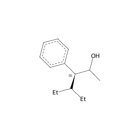 CCC(CC)[C@@H](c1ccccc1)C(C)O